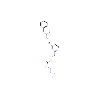 CCN(CCN(C)C)C(=O)CNCc1cc(/C=N/CC(CO)Cc2ccccc2)ccn1